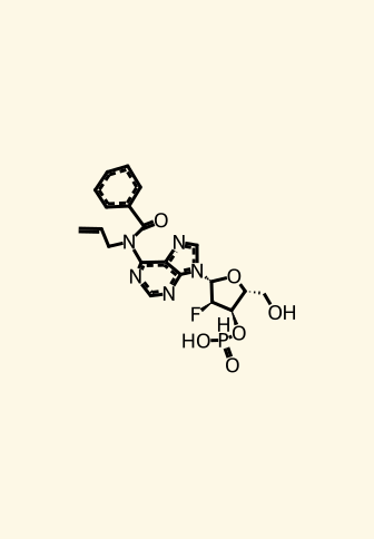 C=CCN(C(=O)c1ccccc1)c1ncnc2c1ncn2[C@@H]1O[C@H](CO)[C@@H](O[PH](=O)O)[C@H]1F